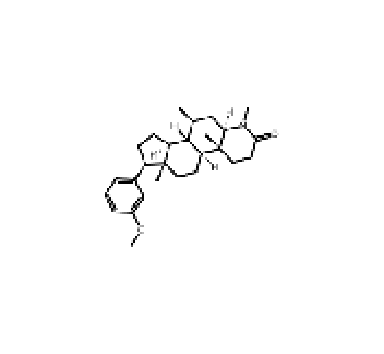 COc1cccc([C@H]2CC[C@H]3[C@@H]4[C@@H](C)C[C@H]5N(C)C(=O)CC[C@]5(C)[C@H]4CC[C@]23C)c1